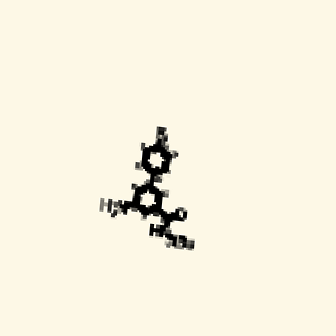 CC(C)(C)NC(=O)c1cc(N)cc(-c2ccc(F)cc2)c1